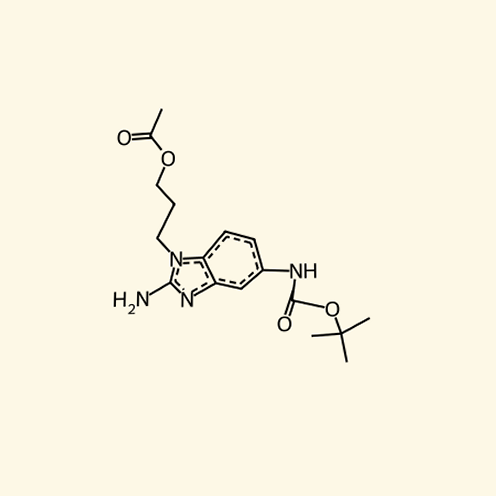 CC(=O)OCCCn1c(N)nc2cc(NC(=O)OC(C)(C)C)ccc21